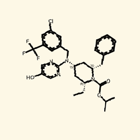 CC[C@@H]1C[C@H](N(Cc2cc(Cl)cc(C(F)(F)F)c2)c2ncc(O)cn2)C[C@H](Cc2ccccc2)N1C(=O)OC(C)C